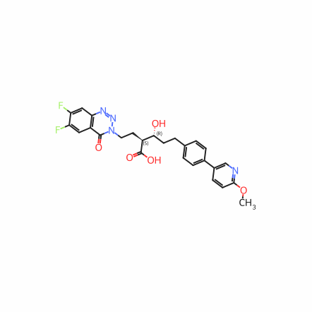 COc1ccc(-c2ccc(CC[C@@H](O)[C@H](CCn3nnc4cc(F)c(F)cc4c3=O)C(=O)O)cc2)cn1